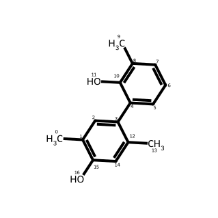 Cc1cc(-c2cccc(C)c2O)c(C)cc1O